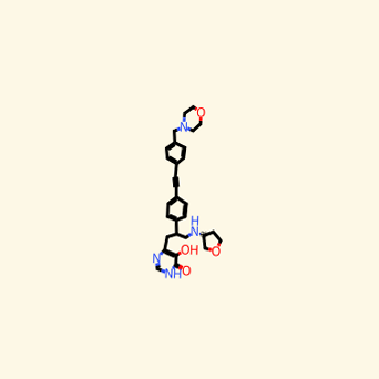 O=c1[nH]cnc(CC(CN[C@@H]2CCOC2)c2ccc(C#Cc3ccc(CN4CCOCC4)cc3)cc2)c1O